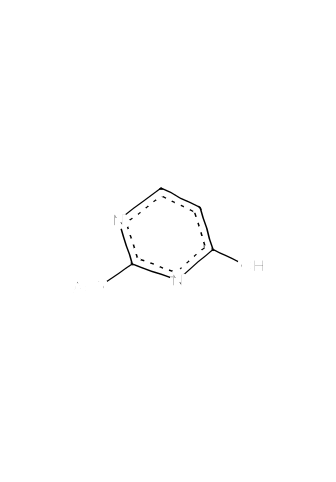 CC(=O)Oc1nccc(O)n1